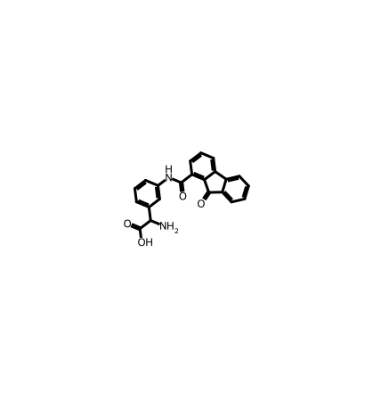 NC(C(=O)O)c1cccc(NC(=O)c2cccc3c2C(=O)c2ccccc2-3)c1